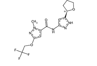 Cn1nc(OCC(F)(F)F)cc1C(=O)Nc1cc([C@H]2C[CH]CO2)[nH]n1